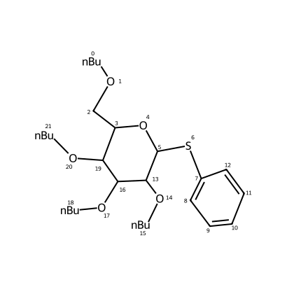 CCCCOCC1OC(Sc2ccccc2)C(OCCCC)C(OCCCC)C1OCCCC